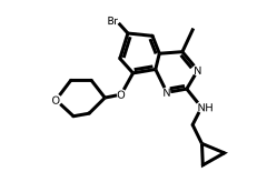 Cc1nc(NCC2CC2)nc2c(OC3CCOCC3)cc(Br)cc12